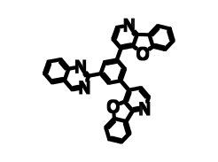 c1ccc2nc(-c3cc(-c4ccnc5c4oc4ccccc45)cc(-c4ccnc5c4oc4ccccc45)c3)ncc2c1